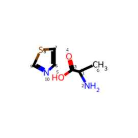 CC(N)C(=O)O.c1cscn1